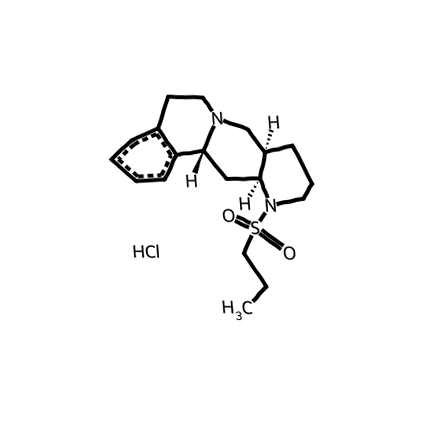 CCCS(=O)(=O)N1CCC[C@@H]2CN3CCc4ccccc4[C@H]3C[C@@H]21.Cl